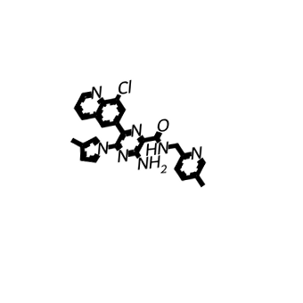 Cc1ccc(CNC(=O)c2nc(-c3cc(Cl)c4ncccc4c3)c(-n3ccc(C)c3)nc2N)nc1